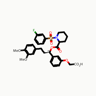 COc1ccc(CC[C@@H](OC(=O)C2CCCCN2S(=O)(=O)c2cccc(F)c2)c2cccc(OCC(=O)O)c2)cc1OC